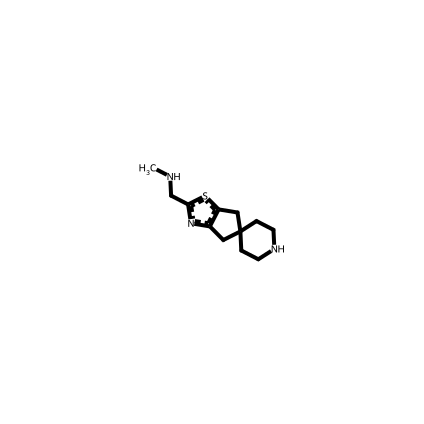 CNCc1nc2c(s1)CC1(CCNCC1)C2